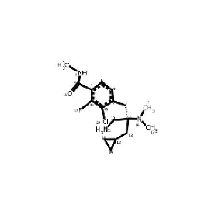 CNC(=O)c1ccc(C[C@@](CN)(CC2CC2)N(C)C)c(Cl)c1F